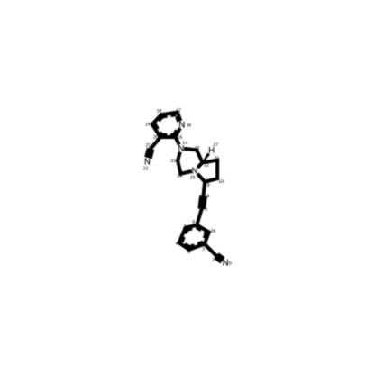 N#Cc1cccc(C#CC2CC[C@H]3CN(c4ncccc4C#N)CCN23)c1